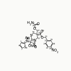 COC1(N(C(C)=O)c2cccs2)C(=O)N2CC(COC(N)=O)(C(=O)OCc3ccc([N+](=O)[O-])cc3)CS[C@@H]21